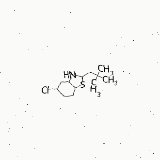 CC(C)(C)CC1NC2CC(Cl)CCC2S1